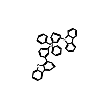 C1=CC2c3ccccc3N(c3cccc([Si](c4ccccc4)(c4ccccc4)c4cccc(-c5cccc6c5sc5ccccc56)c4)c3)C2C=C1